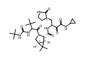 CC(C)(C)NC(=O)NC(C(=O)N1C[C@H]2[C@@H]([C@H]1C(=O)NC(C[C@H]1CCNC1=O)C(=O)C(=O)NC1CC1)C2(C)C)C(C)(C)C